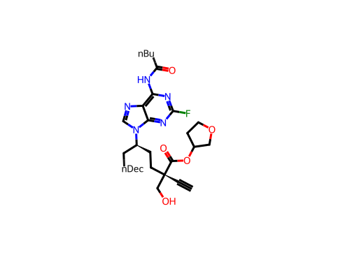 C#C[C@@](CO)(CC[C@@H](CCCCCCCCCCC)n1cnc2c(NC(=O)CCCC)nc(F)nc21)C(=O)OC1CCOC1